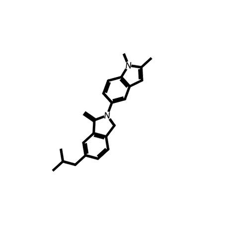 C=C1c2cc(CC(C)C)ccc2CN1c1ccc2c(c1)cc(C)n2C